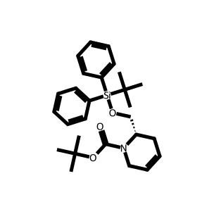 CC(C)(C)OC(=O)N1CC=CC[C@H]1CO[Si](c1ccccc1)(c1ccccc1)C(C)(C)C